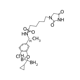 BC(B)(Oc1cc([C@@H](C)NS(=O)(=O)CCCCCN2CC(=O)NC2=O)ccc1Cl)C1CC1